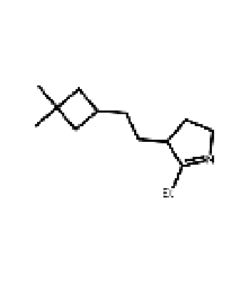 CCC1=NCCC1CCC1CC(C)(C)C1